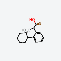 O=C(O)C(C(O)=S)c1ccccc1C1CCCCC1